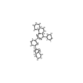 c1ccc(-c2nc(-c3cccc(-c4nc5ccccc5o4)n3)nc3c2ccc2ccccc23)cc1